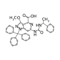 COc1nn(C(c2ccccc2)(c2ccccc2)c2ccccc2)c2cc(NC(=O)NC(C)c3ccccc3)nc(C(=O)O)c12